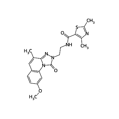 COc1ccc2cc(C)c3nn(CCNC(=O)c4sc(C)nc4C)c(=O)n3c2c1